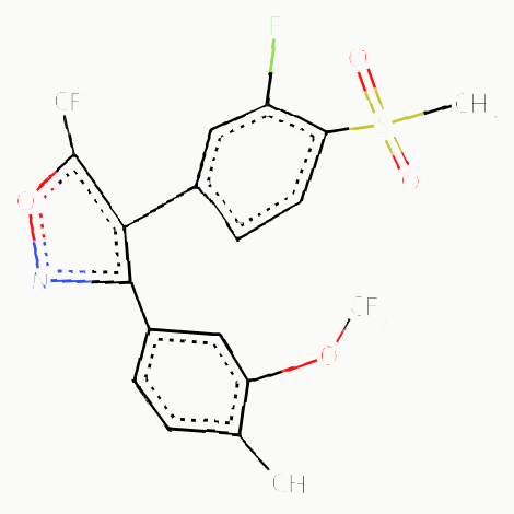 Cc1ccc(-c2noc(C(F)(F)F)c2-c2ccc(S(C)(=O)=O)c(F)c2)cc1OC(F)(F)F